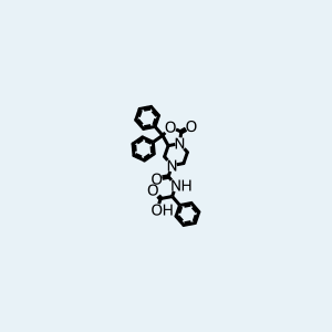 O=C(O)C(NC(=O)N1CCN2C(=O)OC(c3ccccc3)(c3ccccc3)C2C1)c1ccccc1